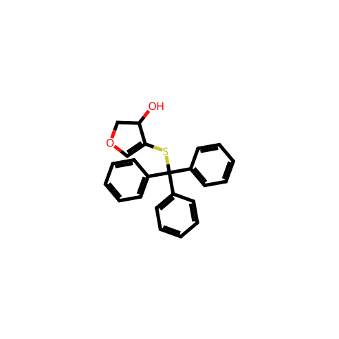 OC1COC=C1SC(c1ccccc1)(c1ccccc1)c1ccccc1